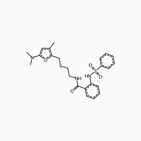 Cc1cc(N(C)C)oc1CSCCNC(=O)c1ccccc1NS(=O)(=O)c1ccccc1